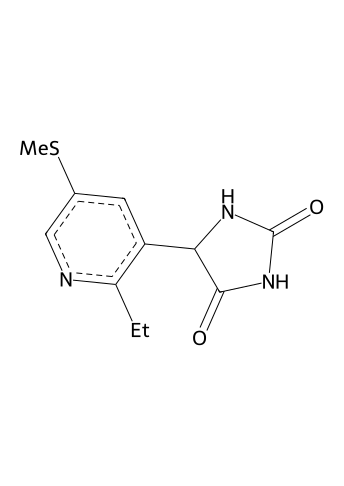 CCc1ncc(SC)cc1C1NC(=O)NC1=O